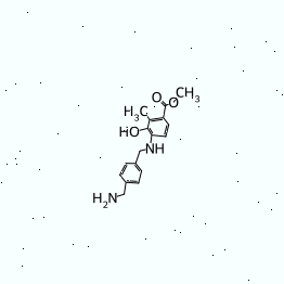 COC(=O)c1ccc(NCc2ccc(CN)cc2)c(O)c1C